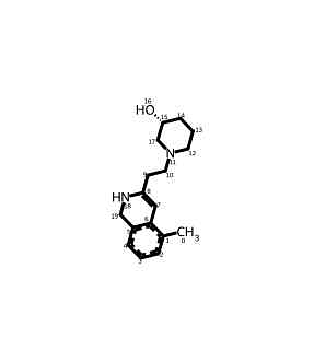 Cc1cccc2c1C=C(CCN1CCC[C@@H](O)C1)NC2